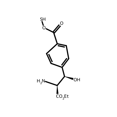 CCOC(=O)[C@@H](N)[C@H](O)c1ccc(C(=O)OS)cc1